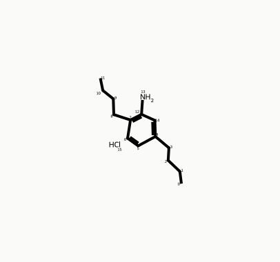 CCCCc1ccc(CCCC)c(N)c1.Cl